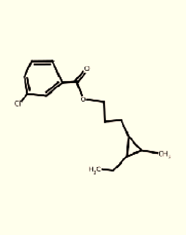 CCC1C(C)C1CCCOC(=O)c1[c]ccc(Cl)c1